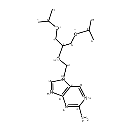 CC(C)OCC(COC(C)C)OCn1cnc2nc(N)ncc21